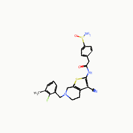 Cc1cccc(CN2CCc3c(sc(NC(=O)Cc4ccc([S+](N)[O-])cc4)c3C#N)C2)c1F